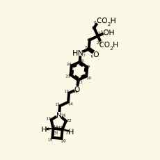 O=C(O)CC(O)(CC(=O)Nc1ccc(OCCCN2C[C@H]3CC[C@H]3C2)cc1)C(=O)O